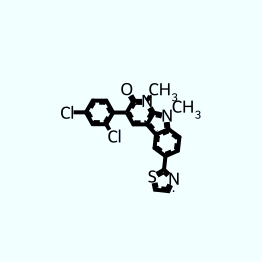 Cn1c(=O)c(-c2ccc(Cl)cc2Cl)cc2c3cc(-c4n[c]cs4)ccc3n(C)c21